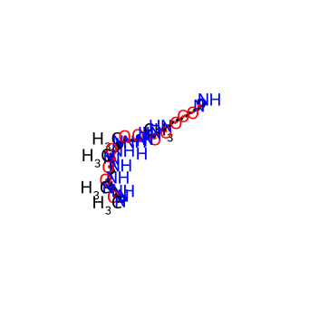 Cn1cc(NC(=O)c2nc(NC(=O)CCNC(=O)c3cc(NC(=O)c4nccn4C)cn3C)cn2C)cc1C(=O)NCCC(=O)Nc1cn(C)c(C(=O)NCCC(=O)NCCOCCOCCOCCN2CCNCC2)n1